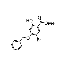 COC(=O)c1cc(Br)c(OCc2ccccc2)cc1O